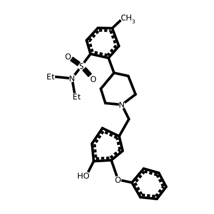 CCN(CC)S(=O)(=O)c1ccc(C)cc1C1CCN(Cc2ccc(O)c(Oc3ccccc3)c2)CC1